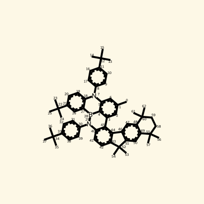 Cc1cc2c3c(c1)N(c1ccc(C(C)(C)C)cc1)c1ccc(C(C)(C)C)cc1B3N(c1ccc(C(C)(C)C)cc1)c1ccc3c(c1-2)-c1cc2c(cc1C3(C)C)C(C)(C)CCC2(C)C